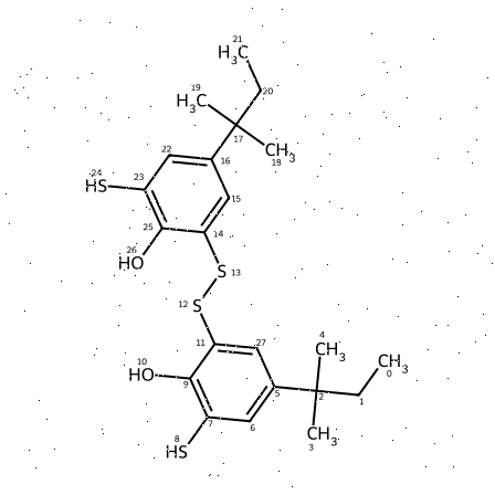 CCC(C)(C)c1cc(S)c(O)c(SSc2cc(C(C)(C)CC)cc(S)c2O)c1